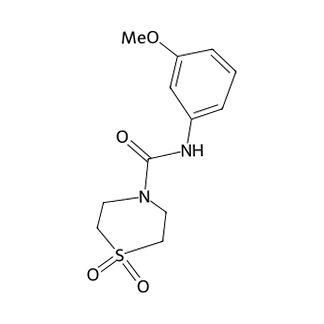 COc1cccc(NC(=O)N2CCS(=O)(=O)CC2)c1